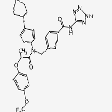 CC(Oc1ccc(OC(F)(F)F)cc1)C(=O)N(Cc1ccc(C(=O)Nc2nn[nH]n2)cc1)c1ccc(C2CCCCC2)cc1